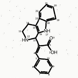 O=C(O)/C(=C\c1ccccc1)C1NCCc2c1[nH]c1ccccc21